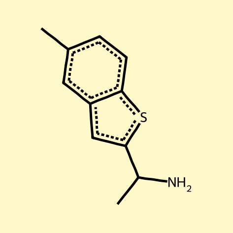 Cc1ccc2sc(C(C)N)cc2c1